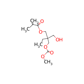 C=C(C)C(=O)OCC(CC)(CO)COC(=O)OC